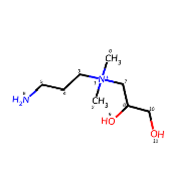 C[N+](C)(CCCN)CC(O)CO